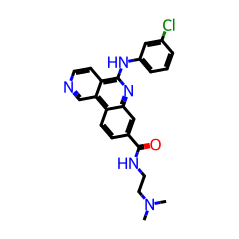 CN(C)CCNC(=O)c1ccc2c(c1)nc(Nc1cccc(Cl)c1)c1ccncc12